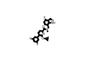 CN(Cc1ccc(F)c2cn[nH]c12)C(=O)c1ccc(-c2cc(F)cc(F)c2)c(OC2CC2)n1